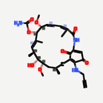 C#CCNC1=C2C[C@@H](C)C[C@H](OC)[C@H](O)[C@@H](C)/C=C(\C)[C@H](OC(N)=O)[C@H](OC)/C=C\C=C(/C)C(=O)NC(=CC1=O)C2=O